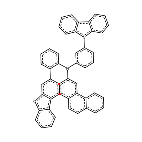 c1cc(N(c2ccc3ccc4ccccc4c3c2)c2ccccc2-c2ccc3c(c2)oc2ccccc23)cc(-n2c3ccccc3c3ccccc32)c1